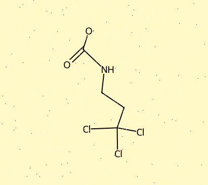 [O]C(=O)NCCC(Cl)(Cl)Cl